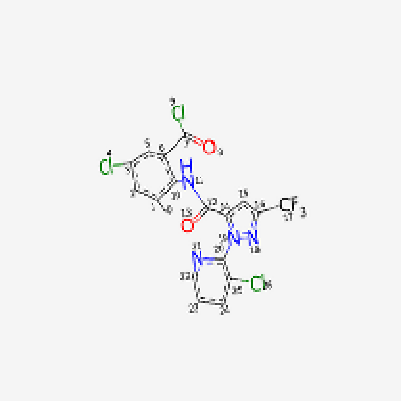 Cc1cc(Cl)cc(C(=O)Cl)c1NC(=O)c1cc(C(F)(F)F)nn1-c1ncccc1Cl